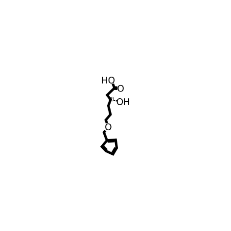 O=C(O)C[C@H](O)CCCOCc1ccccc1